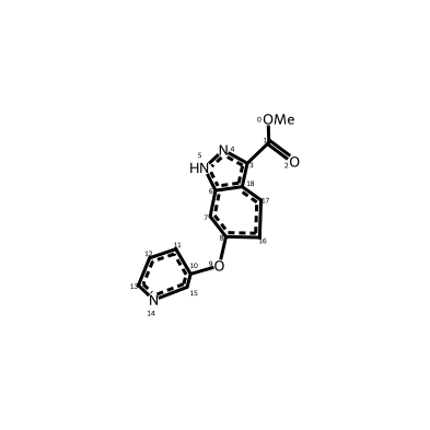 COC(=O)c1n[nH]c2cc(Oc3cccnc3)ccc12